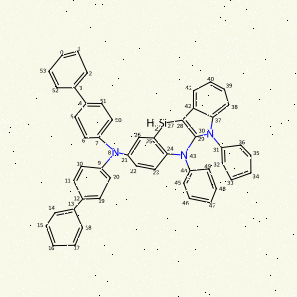 c1ccc(-c2ccc(N(c3ccc(-c4ccccc4)cc3)c3ccc4c(c3)[SiH2]c3c(n(-c5ccccc5)c5ccccc35)N4c3ccccc3)cc2)cc1